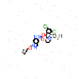 C[Si](C)(C)CCOCn1ncc2cc(NC(=O)O[C@@H](c3cc(Cl)cc(Cl)c3)[C@H]3CCCCN3C(=O)O)ccc21